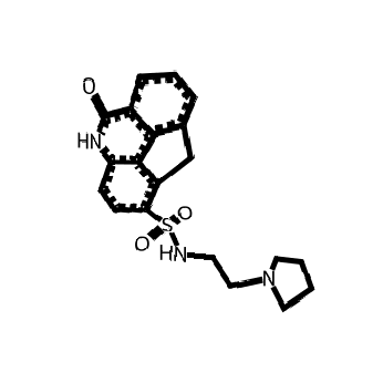 O=c1[nH]c2ccc(S(=O)(=O)NCCN3CCCC3)c3c2c2c(cccc12)C3